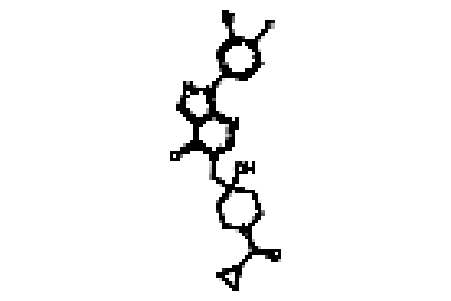 O=C(C1CC1)N1CCC(O)(Cn2cnc3c(cnn3-c3ccc(F)c(Br)c3)c2=O)CC1